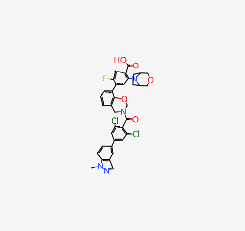 Cn1ncc2cc(-c3cc(Cl)c(C(=O)N4COc5c(cccc5-c5cc(N6C7CCC6COC7)c(C(=O)O)cc5F)C4)c(Cl)c3)ccc21